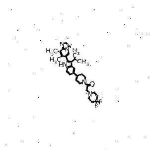 Cc1c(-c2[nH]c3ccc(C4CCN(C(=O)CN5CCC(F)(F)CC5)CC4)cc3c2C(C)C)cn2ncnc2c1C